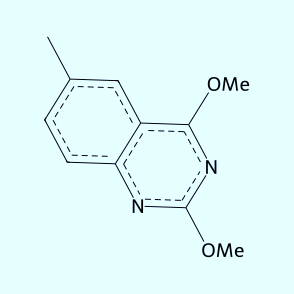 COc1nc(OC)c2cc(C)ccc2n1